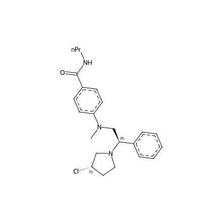 CCCNC(=O)c1ccc(N(C)C[C@@H](c2ccccc2)N2CC[C@H](Cl)C2)cc1